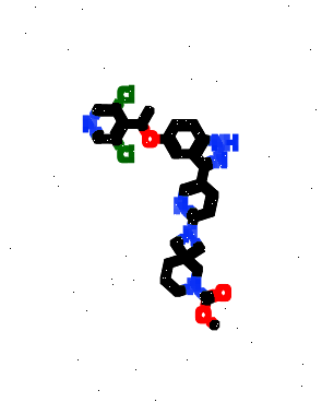 COC(=O)N1CCCC2(C1)CN(c1ccc(-c3n[nH]c4ccc(OC(C)c5c(Cl)cncc5Cl)cc34)cn1)C2